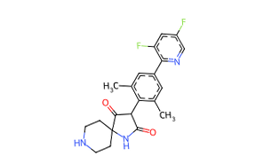 Cc1cc(-c2ncc(F)cc2F)cc(C)c1C1C(=O)NC2(CCNCC2)C1=O